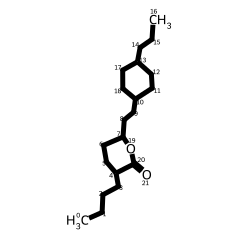 CCCCC1CCC(CCC2CCC(CCC)CC2)OC1=O